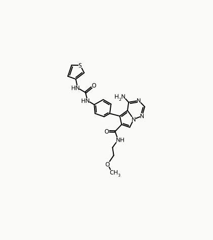 COCCNC(=O)c1cn2ncnc(N)c2c1-c1ccc(NC(=O)Nc2ccsc2)cc1